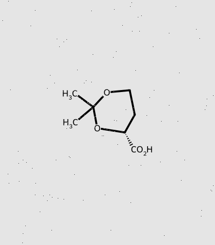 CC1(C)OCC[C@H](C(=O)O)O1